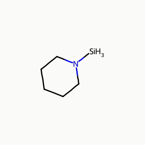 [SiH3]N1CCCCC1